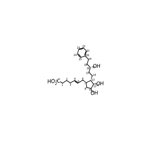 O=C(O)CCCC=CC[C@@H]1CC(O)[C@H](O)[C@@H]1CC[C@@H](O)CCc1ccccc1